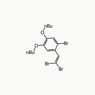 CCCCOc1cc(Br)c(C=C(Br)Br)cc1OCCCC